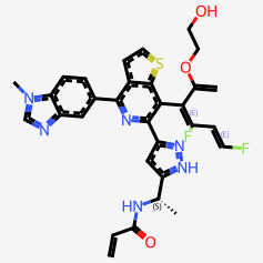 C=CC(=O)N[C@@H](C)c1cc(-c2nc(-c3ccc4c(c3)ncn4C)c3ccsc3c2/C(C(=C)OCCO)=C(F)/C=C/F)n[nH]1